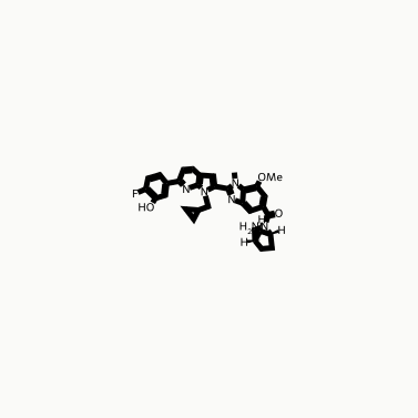 COc1cc(C(=O)N2C[C@H]3CC[C@@H]2[C@@H]3N)cc2nc(-c3cc4ccc(-c5ccc(F)c(O)c5)nc4n3CC3CC3)n(C)c12